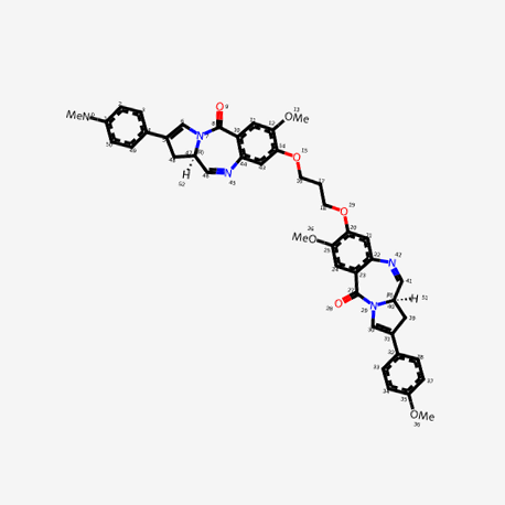 CNc1ccc(C2=CN3C(=O)c4cc(OC)c(OCCCOc5cc6c(cc5OC)C(=O)N5C=C(c7ccc(OC)cc7)C[C@@H]5C=N6)cc4N=C[C@H]3C2)cc1